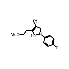 CCC1=C(CCOC)NN(c2ccc(F)cc2)C1